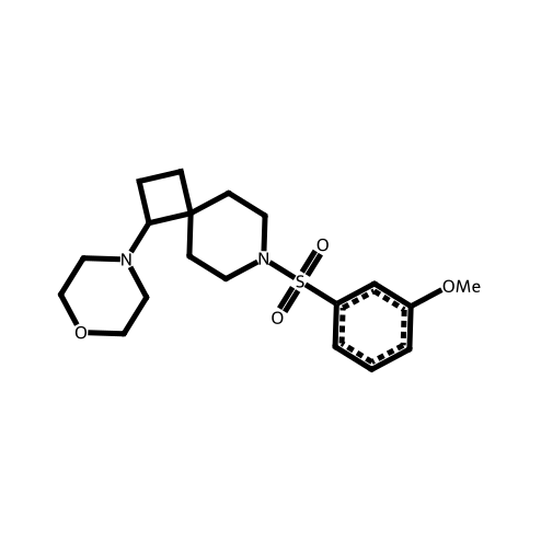 COc1cccc(S(=O)(=O)N2CCC3(CCC3N3CCOCC3)CC2)c1